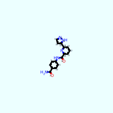 NC(=O)c1ccc(NC(=O)c2cccc(-c3ccn[nH]3)n2)cc1